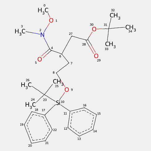 CON(C)C(=O)C(CCO[Si](c1ccccc1)(c1ccccc1)C(C)(C)C)CC(=O)OC(C)(C)C